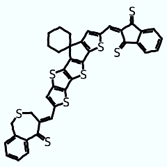 S=C1/C(=C/c2cc3sc4c5c(sc4c3s2)-c2sc(C=C3C(=S)c4ccccc4C3=S)cc2C52CCCCC2)CSCc2ccccc21